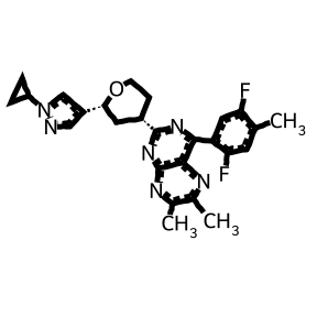 Cc1cc(F)c(-c2nc([C@H]3CCO[C@@H](c4cnn(C5CC5)c4)C3)nc3nc(C)c(C)nc23)cc1F